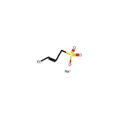 CCC=CCS(=O)(=O)[O-].[Na+]